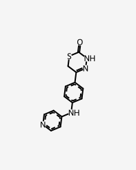 O=C1NN=C(c2ccc(Nc3ccncc3)cc2)CS1